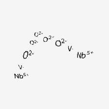 [Nb+5].[Nb+5].[O-2].[O-2].[O-2].[O-2].[O-2].[V].[V]